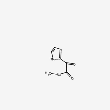 [CH3][Ru][C](=O)C(=O)c1ccc[nH]1